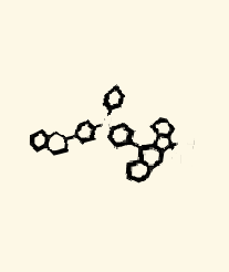 CC1(C)c2ccccc2-c2c1cc1ccccc1c2-c1ccc(N(c2ccccc2)c2ccc(C3C=Cc4ccccc4C3)cc2)cc1